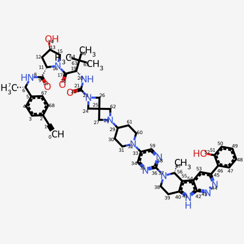 C#Cc1ccc([C@H](C)NC(=O)[C@@H]2C[C@@H](O)CN2C(=O)[C@@H](NC(=O)N2CC3(C2)CN(C2CCN(c4cnc(N5CCc6[nH]c7nnc(-c8ccccc8O)cc7c6[C@H]5C)nc4)CC2)C3)C(C)(C)C)cc1